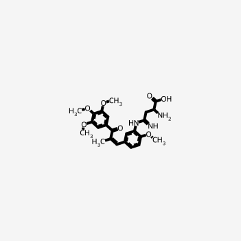 COc1ccc(C=C(C)C(=O)c2cc(OC)c(OC)c(OC)c2)cc1NC(=N)CC(N)C(=O)O